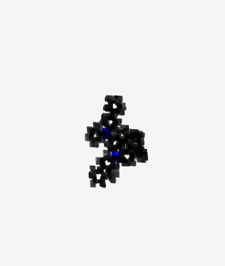 CC1(C)c2ccccc2-c2ccc(-n3c4cccc5c4c4c6c(cccc6c(N(c6ccccc6)c6ccc(-c7ccccc7)cc6)cc43)C53c4ccccc4-c4ccccc43)cc21